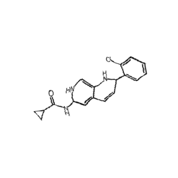 O=C(NC1C=C2C=CC(c3ccccc3Cl)NC2=CN1)C1CC1